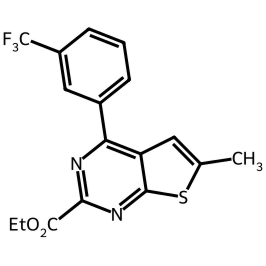 CCOC(=O)c1nc(-c2cccc(C(F)(F)F)c2)c2cc(C)sc2n1